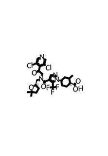 CC1C[C@@H](n2ncc(C(=O)N(CC(=O)c3c(Cl)cncc3Cl)C[C@H]3CCC(C)(C)O3)c2C(F)(F)F)CC[C@@H]1C(=O)O